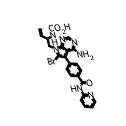 C=CC(Cn1c(Br)c(-c2ccc(C(=O)Nc3ccccn3)cc2)c2c(N)ncnc21)NC(=O)O